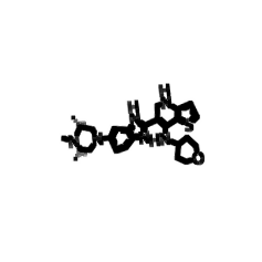 C[C@@H]1CN(c2ccc3nc(C4=C(NC5CCOCC5)c5sccc5NC4)[nH]c3c2)C[C@H](C)N1C